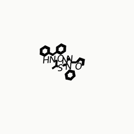 CC(Sc1nnc(-c2ccco2)n1-c1ccccc1)C(=O)NC(c1ccccc1)c1ccccc1